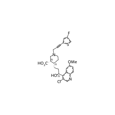 COc1ccc2ncc(Cl)c([C@@H](O)CC[C@H]3CCN(CC#Cc4cc(F)cs4)C[C@H]3C(=O)O)c2c1